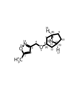 Cc1cc(CO[C@H]2C[C@H]3CC[C@@H](C2)N3)no1